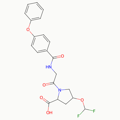 O=C(NCC(=O)N1CC(OC(F)F)CC1C(=O)O)c1ccc(Oc2ccccc2)cc1